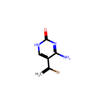 C=C(Br)c1c[nH]c(=O)nc1N